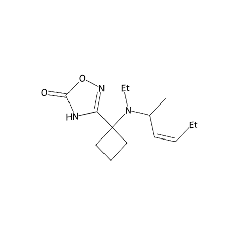 CC/C=C\C(C)N(CC)C1(c2noc(=O)[nH]2)CCC1